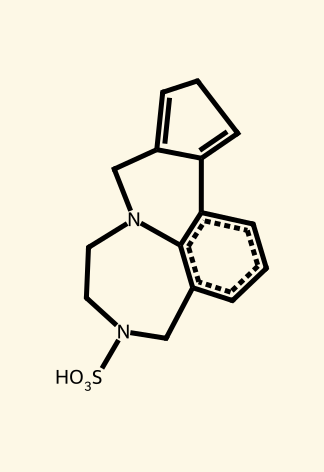 O=S(=O)(O)N1CCN2CC3=CCC=C3c3cccc(c32)C1